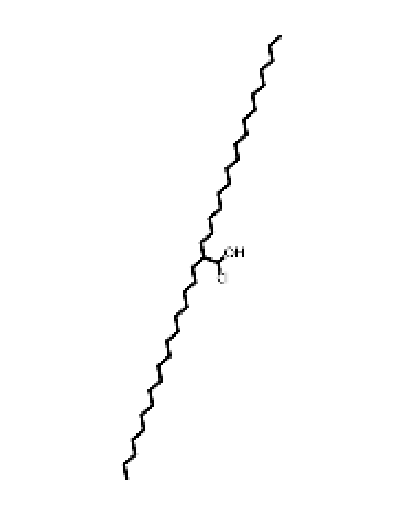 CCCCCCCCCCCCCCCCCCC(CCCCCCCCCCCCCCCCCC)C(O)Cl